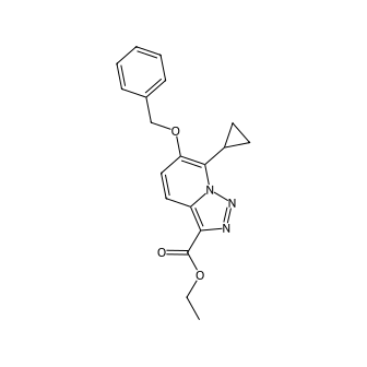 CCOC(=O)c1nnn2c(C3CC3)c(OCc3ccccc3)ccc12